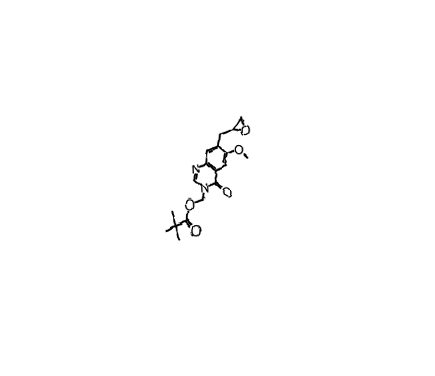 COc1cc2c(=O)n(COC(=O)C(C)(C)C)cnc2cc1CC1CO1